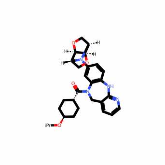 CC(C)O[C@H]1CC[C@H](C(=O)N2Cc3cccnc3Nc3ccc(N4[C@@H]5CO[C@H]6[C@@H]5OC[C@@H]64)cc32)CC1